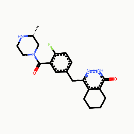 C[C@@H]1CN(C(=O)c2cc(Cc3n[nH]c(=O)c4c3CCCC4)ccc2F)CCN1